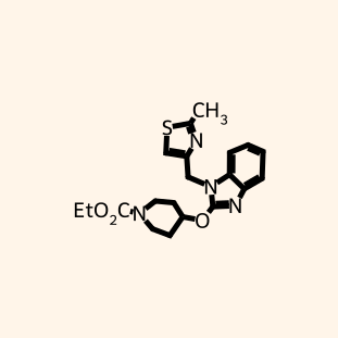 CCOC(=O)N1CCC(Oc2nc3ccccc3n2Cc2csc(C)n2)CC1